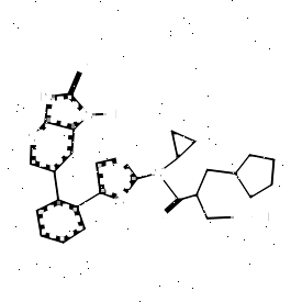 Cn1c(=O)[nH]c2ncc(-c3ccccc3-c3csc(N(C(=O)C(CC(=O)O)CC4CCCC4)C4CC4)n3)cc21